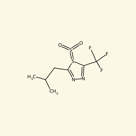 CC(C)CC1=NN=C(C(F)(F)F)S1=S(=O)=O